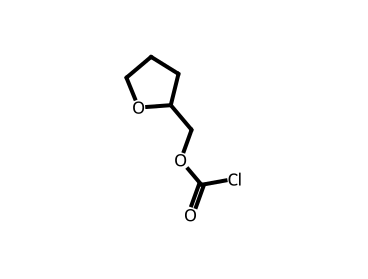 O=C(Cl)OCC1CCCO1